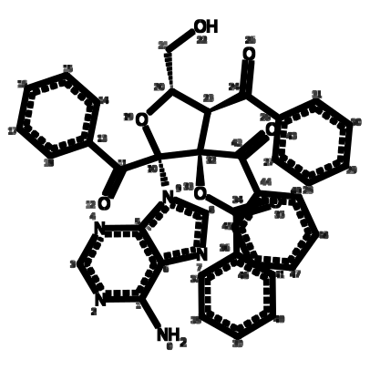 Nc1ncnc2c1ncn2[C@]1(C(=O)c2ccccc2)O[C@H](CO)[C@@H](C(=O)c2ccccc2)[C@]1(OC(=O)c1ccccc1)C(=O)c1ccccc1